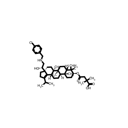 CC(C)C1=C2[C@H]3CC[C@@H]4[C@@]5(C)CC[C@H](OC(=O)CC(C)(C)C(=O)O)C(C)(C)C5(S)CC[C@@]4(C)[C@]3(C)CC[C@@]2([C@H](O)CNCc2ccc(Cl)cc2)CC1